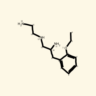 CCOc1ccccc1CC(N)CNCCN